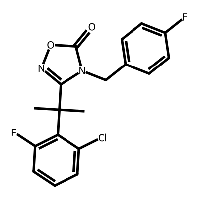 CC(C)(c1c(F)cccc1Cl)c1noc(=O)n1Cc1ccc(F)cc1